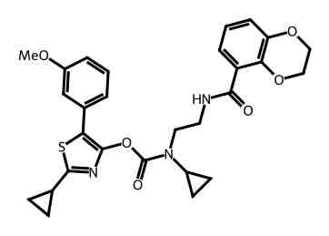 COc1cccc(-c2sc(C3CC3)nc2OC(=O)N(CCNC(=O)c2cccc3c2OCCO3)C2CC2)c1